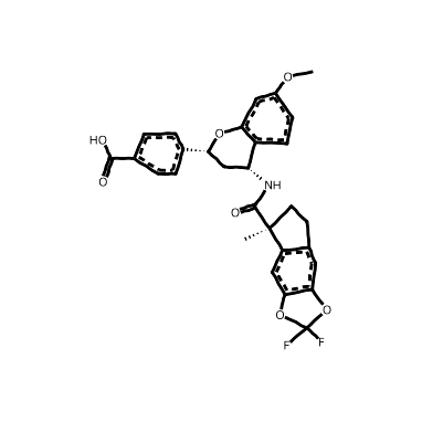 COc1ccc2c(c1)O[C@@H](c1ccc(C(=O)O)cc1)C[C@H]2NC(=O)[C@@]1(C)CCc2cc3c(cc21)OC(F)(F)O3